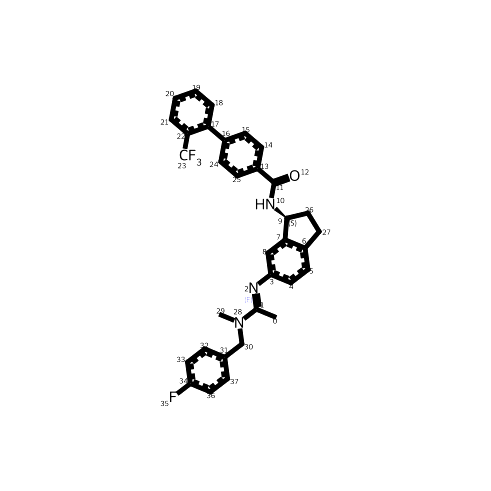 C/C(=N\c1ccc2c(c1)[C@@H](NC(=O)c1ccc(-c3ccccc3C(F)(F)F)cc1)CC2)N(C)Cc1ccc(F)cc1